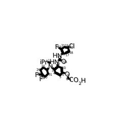 CC(C)CN(c1ccc(OCC(=O)O)cc1NC(=O)Nc1ccc(Cl)cc1F)C1CCC(F)(F)CC1